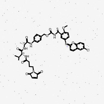 COc1ccc(/N=c2/ccc3cc(Cl)ccc3o2)cc1C(=S)NC(=O)OCc1ccc(NC(=O)[C@@H](C)NC(=O)[C@H](NC(=O)CCCN2C(=O)C=CC2=O)C(C)C)cc1